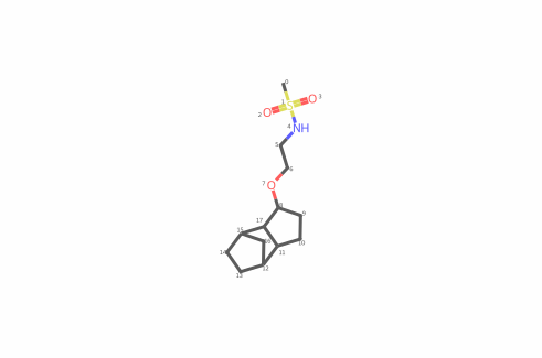 CS(=O)(=O)NCCOC1CCC2C3CCC(C3)C12